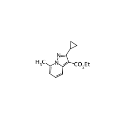 CCOC(=O)c1c(C2CC2)nn2c(C)cccc12